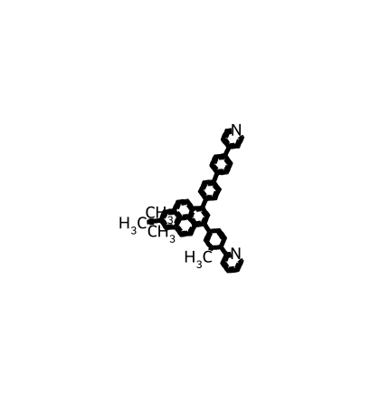 CC1C=C(c2cc(-c3ccc(-c4ccc(-c5ccncc5)cc4)cc3)c3ccc4cc(C(C)(C)C)cc5ccc2c3c54)C=CC1c1ccccn1